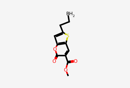 BCCc1cc2oc(=O)c(C(=O)OC)cc2s1